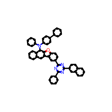 c1ccc(-c2ccc(N(c3ccccc3)c3c4ccccc4cc4c3oc3ccc(-c5nc(-c6ccccc6)nc(-c6ccc7ccccc7c6)n5)cc34)cc2)cc1